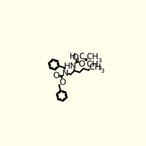 CCCCC(CN(Cc1ccccc1)C(=O)OCc1ccccc1)NC(=O)OC(C)(C)C